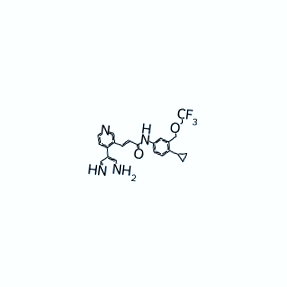 N=C/C(=C\N)c1ccncc1/C=C/C(=O)Nc1ccc(C2CC2)c(COCC(F)(F)F)c1